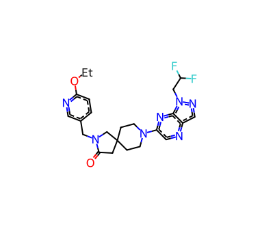 CCOc1ccc(CN2CC3(CCN(c4cnc5cnn(CC(F)F)c5n4)CC3)CC2=O)cn1